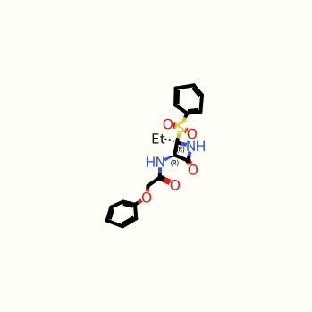 CC[C@]1(S(=O)(=O)c2ccccc2)NC(=O)[C@H]1NC(=O)COc1ccccc1